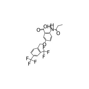 CCC(=O)Nc1ccc(OCc2ccc(C(F)(F)F)cc2C(F)(F)F)cc1C(=O)O